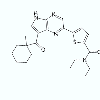 CCN(CC)C(=O)c1ccc(-c2cnc3[nH]cc(C(=O)C4(C)CCCCC4)c3n2)s1